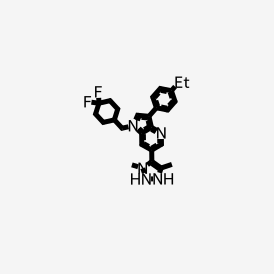 CCc1ccc(-c2cn(CC3CCC(F)(F)CC3)c3cc(C4=C(C)NNN4C)cnc23)cc1